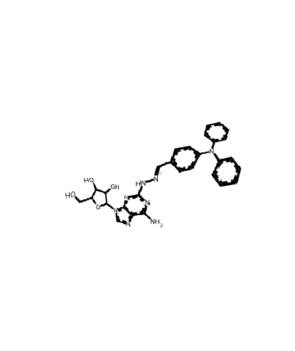 Nc1nc(N/N=C/c2ccc(N(c3ccccc3)c3ccccc3)cc2)nc2c1ncn2C1OC(CO)C(O)C1O